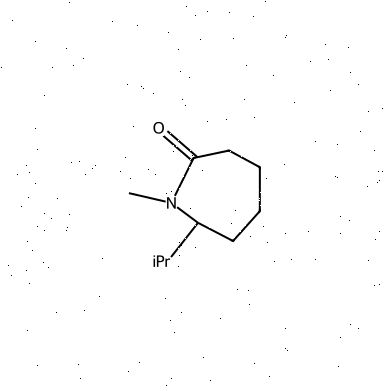 CC(C)C1CCCCC(=O)N1C